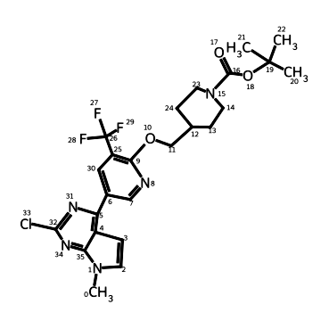 Cn1ccc2c(-c3cnc(OCC4CCN(C(=O)OC(C)(C)C)CC4)c(C(F)(F)F)c3)nc(Cl)nc21